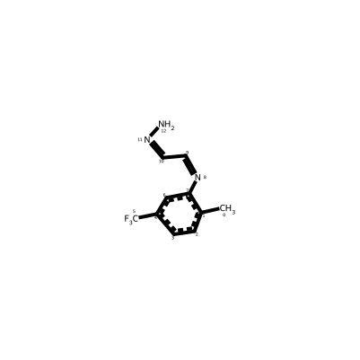 Cc1ccc(C(F)(F)F)cc1/N=C\C=N/N